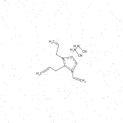 C=CCc1n(C=C)cc[n+]1CC=C.N#CN.N#CN